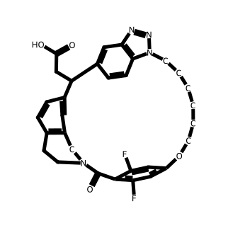 O=C(O)CC1c2ccc3c(c2)CN(CC3)C(=O)c2c(F)cc(cc2F)OCCCCCCn2nnc3cc1ccc32